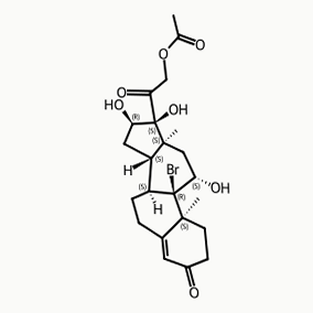 CC(=O)OCC(=O)[C@@]1(O)[C@H](O)C[C@H]2[C@@H]3CCC4=CC(=O)CC[C@]4(C)[C@@]3(Br)[C@@H](O)C[C@@]21C